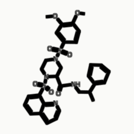 COc1ccc(S(=O)(=O)N2CCN(S(=O)(=O)c3cccc4cccnc34)C(C(=O)NCC(C)c3ccccc3)C2)cc1OC